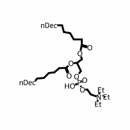 CCCCCCCCCCCCCCCC(=O)OCC(COP(=O)(O)OCC[N+](CC)(CC)CC)OC(=O)CCCCCCCCCCCCCCC